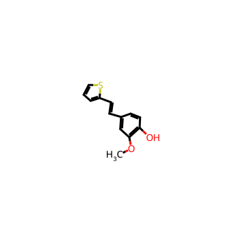 COc1cc(/C=C/c2cccs2)ccc1O